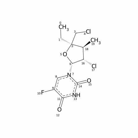 CC[C@@]1(CCl)O[C@@H](n2cc(F)c(=O)[nH]c2=O)[C@@H](Cl)[C@@H]1C